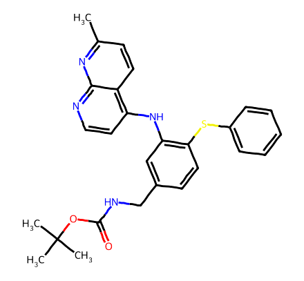 Cc1ccc2c(Nc3cc(CNC(=O)OC(C)(C)C)ccc3Sc3ccccc3)ccnc2n1